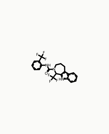 O=C(Nc1ccccc1C(F)(F)F)N1CCCc2c([nH]c3ccccc23)C1C(F)(F)F